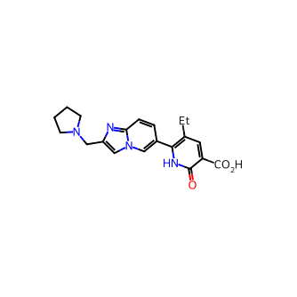 CCc1cc(C(=O)O)c(=O)[nH]c1-c1ccc2nc(CN3CCCC3)cn2c1